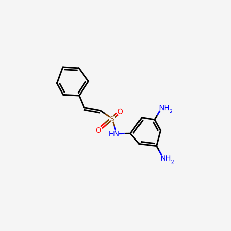 Nc1cc(N)cc(NS(=O)(=O)/C=C/c2ccccc2)c1